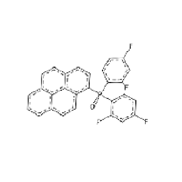 O=P(c1ccc(F)cc1F)(c1ccc(F)cc1F)c1ccc2ccc3cccc4ccc1c2c34